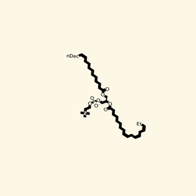 CC/C=C\C/C=C\C/C=C\CCCCCCCC(=O)O[C@H](COC(=O)CCCCCCCCC/C=C\CCCCCCCCCC)COP(=O)([O-])OCC[N+](C)(C)C